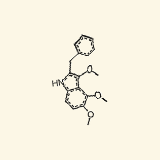 COc1ccc2[nH]c(Cc3ccccc3)c(OC)c2c1OC